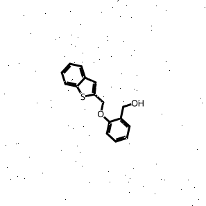 OCc1ccccc1OCc1cc2ccccc2s1